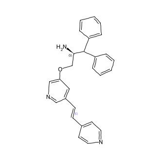 N[C@H](COc1cncc(/C=C/c2ccncc2)c1)C(c1ccccc1)c1ccccc1